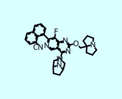 N#Cc1cccc2cccc(-c3ncc4c(N5CC6CCC(C5)N6)nc(OCC56CCCN5CCC6)nc4c3F)c12